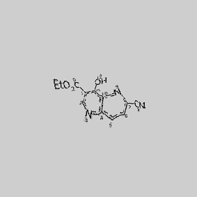 CCOC(=O)c1cnc2ccc(C#N)nc2c1O